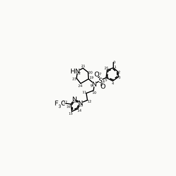 Cc1cccc(S(=O)(=O)N(CCCn2ccc(C(F)(F)F)n2)C2CCNCC2)c1